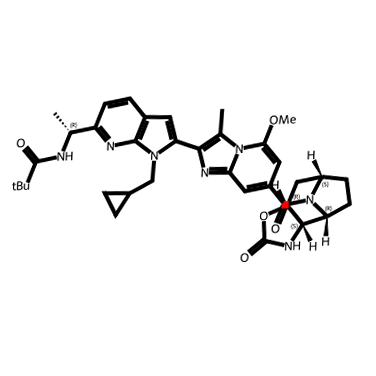 COc1cc(C(=O)N2[C@H]3CC[C@@H]2[C@@H]2NC(=O)O[C@@H]2C3)cc2nc(-c3cc4ccc([C@@H](C)NC(=O)C(C)(C)C)nc4n3CC3CC3)c(C)n12